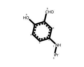 CC(C)Nc1ccc(O)c(C=O)c1